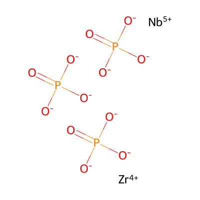 O=P([O-])([O-])[O-].O=P([O-])([O-])[O-].O=P([O-])([O-])[O-].[Nb+5].[Zr+4]